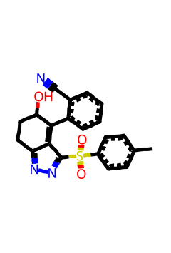 Cc1ccc(S(=O)(=O)C2=NN=C3CCC(O)C(c4ccccc4C#N)=C32)cc1